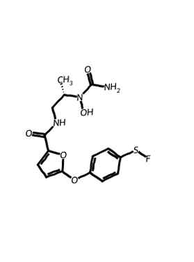 C[C@@H](CNC(=O)c1ccc(Oc2ccc(SF)cc2)o1)N(O)C(N)=O